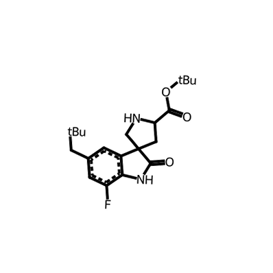 CC(C)(C)Cc1cc(F)c2c(c1)C1(CNC(C(=O)OC(C)(C)C)C1)C(=O)N2